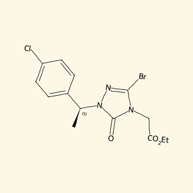 CCOC(=O)Cn1c(Br)nn([C@@H](C)c2ccc(Cl)cc2)c1=O